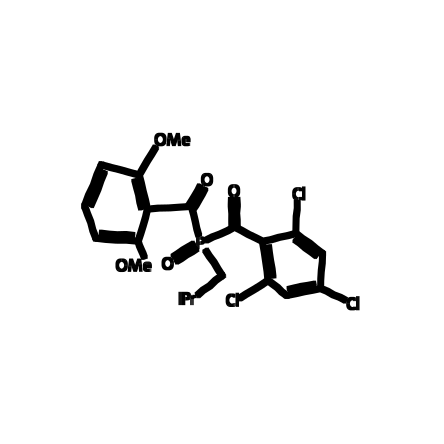 COc1cccc(OC)c1C(=O)P(=O)(CC(C)C)C(=O)c1c(Cl)cc(Cl)cc1Cl